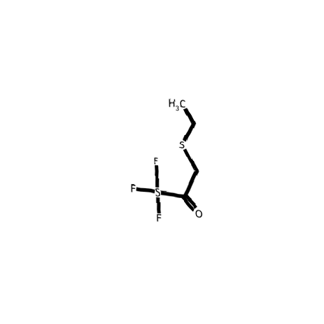 CCSCC(=O)S(F)(F)F